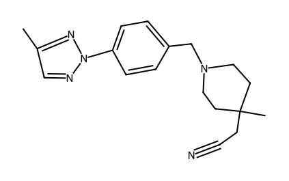 Cc1cnn(-c2ccc(CN3CCC(C)(CC#N)CC3)cc2)n1